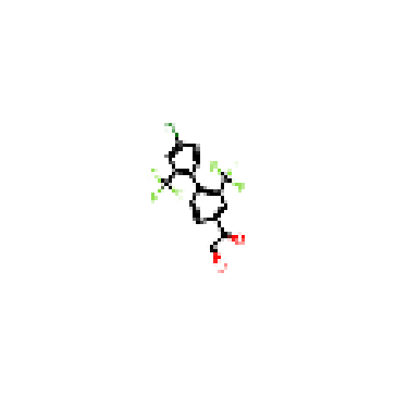 O=CC(=O)c1ccc(-c2ccc(Cl)cc2C(F)(F)F)c(C(F)(F)F)c1